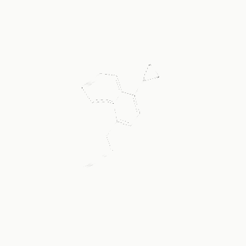 S=C=NCc1ccc(C2CC2)c2ccccc12